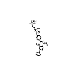 CCP(=O)(Cc1ccc(C(=O)Nc2cc(-c3cccs3)ccc2N)cc1)OCCC(C)(C)O